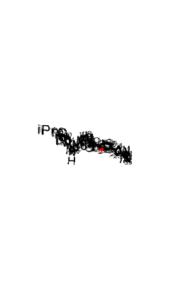 CC(C)c1nc2cc(-c3n[nH]c4ccc(N5CC[C@]6(CCN(CC(=O)N7CC=C(c8ccc(-c9ncn(C)n9)cc8)CC7)C6)C5=O)nc34)ccc2o1